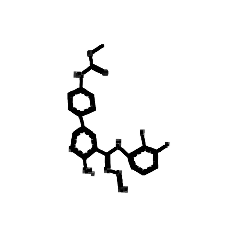 COC(=O)Nc1ccc(-c2cnc(N)c(/C(=N/N=N)Nc3cccc(F)c3F)c2)cc1